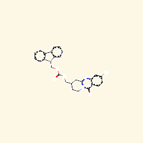 O=C(OCC1CCn2c(nc3cc(Br)ccc3c2=O)C1)OCC1c2ccccc2-c2ccccc21